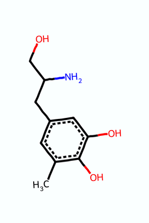 Cc1cc(CC(N)CO)cc(O)c1O